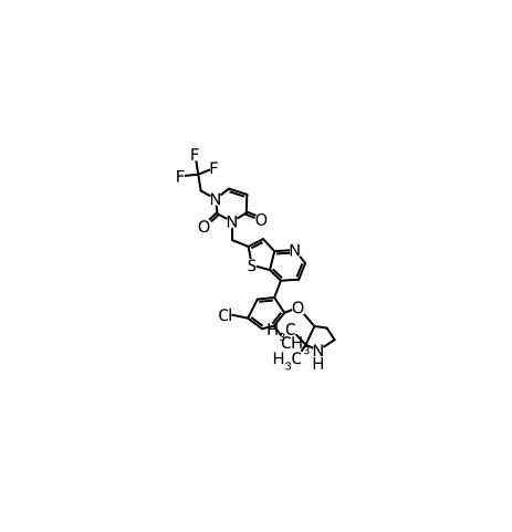 Cc1cc(Cl)cc(-c2ccnc3cc(Cn4c(=O)ccn(CC(F)(F)F)c4=O)sc23)c1OC1CCNC1(C)C